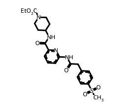 CCOC(=O)N1CCC(NC(=O)c2cccc(NC(=O)Cc3ccc(S(C)(=O)=O)cc3)n2)CC1